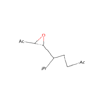 CC(=O)CCC(C(C)C)C1OC1C(C)=O